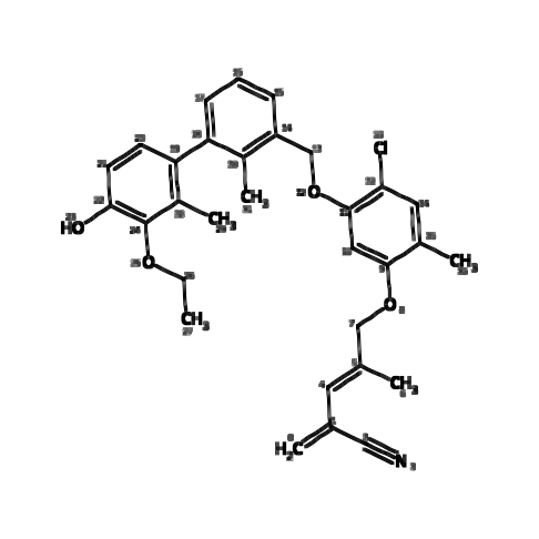 C=C(C#N)/C=C(\C)COc1cc(OCc2cccc(-c3ccc(O)c(OCC)c3C)c2C)c(Cl)cc1C